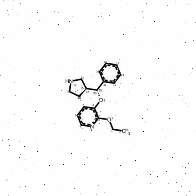 FC(F)(F)COc1ncccc1O[C@@H](c1ccccc1)[C@H]1CCNC1